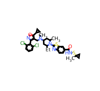 CCC1CC(N(C)Cc2c(-c3c(Cl)cccc3Cl)noc2C2CC2)CC(C)N1c1nc2ccc(C(=O)NSC3(C)CC3)cc2s1